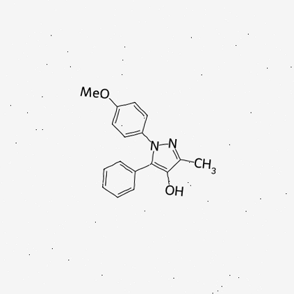 COc1ccc(-n2nc(C)c(O)c2-c2ccccc2)cc1